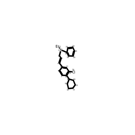 CCN(CC=Cc1ccc(C2CCCCC2)c(Cl)c1)c1ccccc1